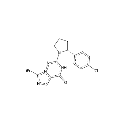 CC(C)c1ncc2c(=O)[nH]c(N3CCC[C@@H]3c3ccc(Cl)cc3)nn12